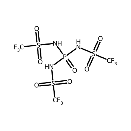 O=P(NS(=O)(=O)C(F)(F)F)(NS(=O)(=O)C(F)(F)F)NS(=O)(=O)C(F)(F)F